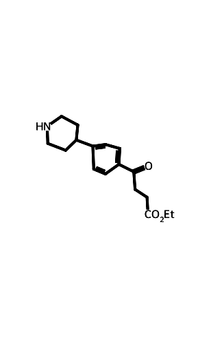 CCOC(=O)CCC(=O)c1ccc(C2CCNCC2)cc1